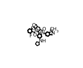 Cc1cccc(F)c1C(=O)N1C2COCC2CC(C(=O)Nc2ccc3cnn(C)c3c2)C1c1ccc(NC2CCCC2)cc1